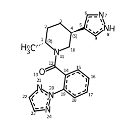 C[C@@H]1CC[C@@H](c2cn[nH]c2)CN1C(=O)c1ccccc1-n1nccn1